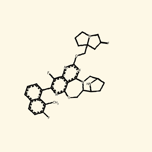 Cc1c(F)ccc2cccc(-c3nc4c5c(nc(OCC67CCCN6CC(F)C7)nc5c3F)N3CC5CCC(N5)C3CO4)c12